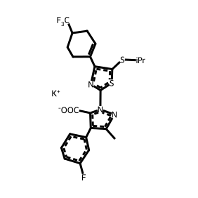 Cc1nn(-c2nc(C3=CCC(C(F)(F)F)CC3)c(SC(C)C)s2)c(C(=O)[O-])c1-c1cccc(F)c1.[K+]